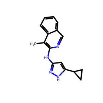 Cc1c(Nc2cc(C3CC3)[nH]n2)ncc2ccccc12